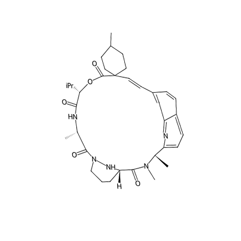 CC1CCC2(/C=C/c3ccc4ccc(nc4c3)[C@@H](C)N(C)C(=O)[C@@H]3CCCN(N3)C(=O)[C@H](C)NC(=O)[C@H](C(C)C)OC2=O)CC1